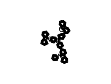 c1ccc(-n2c3ccccc3c3ccc(-c4ccc(N(c5ccc(-c6cccc7c6oc6ccccc67)cc5)c5ccc(-n6c7ccccc7c7ccccc76)cc5)cc4)cc32)cc1